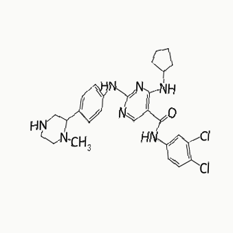 CN1CCNCC1c1ccc(Nc2ncc(C(=O)Nc3ccc(Cl)c(Cl)c3)c(NC3CCCC3)n2)cc1